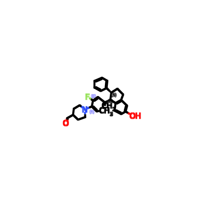 C=C(/C=C(F)\C(=C/C)N1CCC(C=O)CC1)[C@@H]1c2ccc(O)cc2CC[C@@H]1c1ccccc1